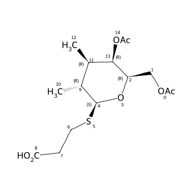 CC(=O)OC[C@H]1O[C@@H](SCCC(=O)O)[C@H](C)[C@@H](C)[C@H]1OC(C)=O